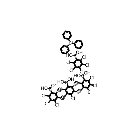 OB(O)c1c(Cl)c(Cl)c(Cl)c(Cl)c1Cl.OB(O)c1c(Cl)c(Cl)c(Cl)c(Cl)c1Cl.OB(O)c1c(Cl)c(Cl)c(Cl)c(Cl)c1Cl.[O-]B(O)c1c(Cl)c(Cl)c(Cl)c(Cl)c1Cl.c1ccc([C+](c2ccccc2)c2ccccc2)cc1